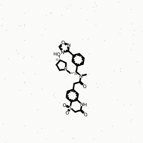 CN(C(=O)Cc1ccc2c(c1)NC(=O)CS2(=O)=O)[C@H](CN1CC[C@H](O)C1)c1cccc(-c2ncon2)c1